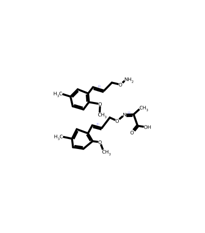 COc1ccc(C)cc1/C=C/CO/N=C(/C)C(=O)O.COc1ccc(C)cc1/C=C/CON